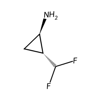 N[C@@H]1C[C@H]1C(F)F